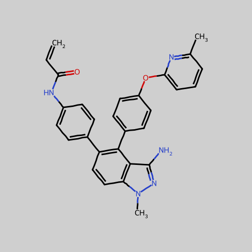 C=CC(=O)Nc1ccc(-c2ccc3c(c(N)nn3C)c2-c2ccc(Oc3cccc(C)n3)cc2)cc1